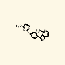 Cc1ccnc(Oc2ccc(-c3csc4ccnc(N)c34)cc2)n1